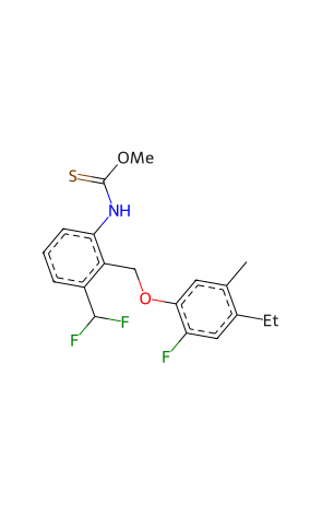 CCc1cc(F)c(OCc2c(NC(=S)OC)cccc2C(F)F)cc1C